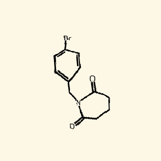 O=C1CCCC(=O)N1Cc1ccc(Br)cc1